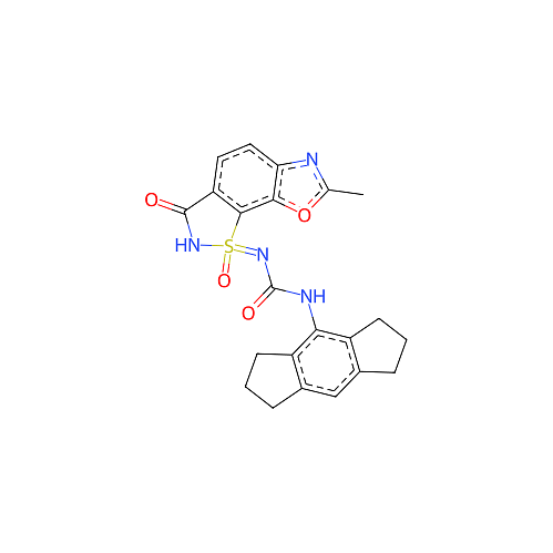 Cc1nc2ccc3c(c2o1)S(=O)(=NC(=O)Nc1c2c(cc4c1CCC4)CCC2)NC3=O